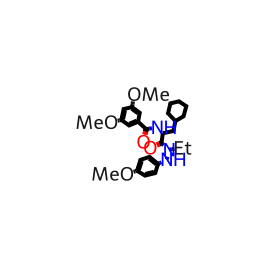 CCN(Nc1ccc(OC)cc1)C(=O)C(CC1CCCCC1)NC(=O)c1cc(OC)cc(OC)c1